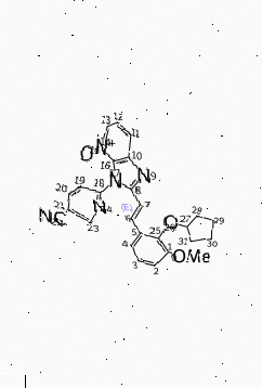 COc1cccc(/C=C/c2nc3ccc[n+]([O-])c3n2-c2ccc(C#N)cn2)c1OC1CCCC1